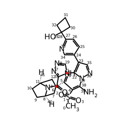 CS(=O)(=O)c1c([C@@H]2C[C@H]3CC[C@@H](C2)N3C(=O)c2nnc[nH]2)nc2c(-c3ccc(C4(O)CCC4)nc3)cnn2c1N